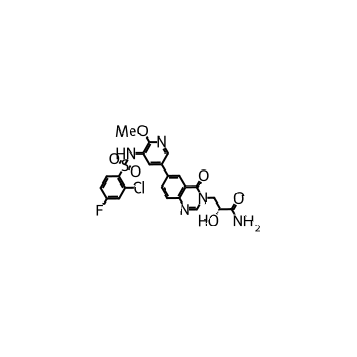 COc1ncc(-c2ccc3ncn(C[C@@H](O)C(N)=O)c(=O)c3c2)cc1NS(=O)(=O)c1ccc(F)cc1Cl